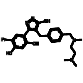 CC(C)c1cc(-c2nnc(O)n2Cc2ccc(CN(C)CCN(C)C)cc2)c(O)cc1O